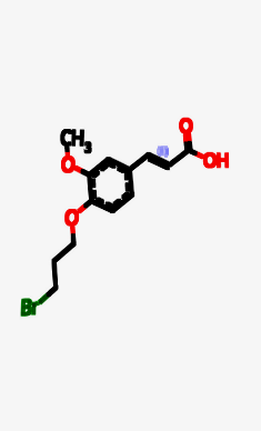 COc1cc(/C=C/C(=O)O)ccc1OCCCBr